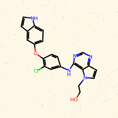 OCCn1ccc2ncnc(Nc3ccc(Oc4ccc5[nH]ccc5c4)c(Cl)c3)c21